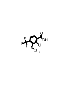 CSc1c(C(F)(F)F)ccc(C(=O)O)c1Cl